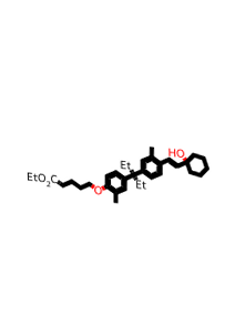 CCOC(=O)CCCCOc1ccc(C(CC)(CC)c2ccc(C=CC3(O)CCCCC3)c(C)c2)cc1C